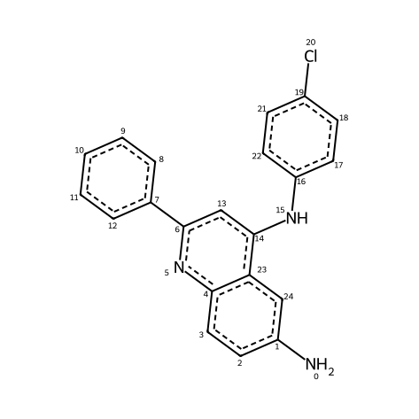 Nc1ccc2nc(-c3ccccc3)cc(Nc3ccc(Cl)cc3)c2c1